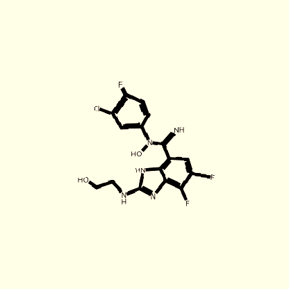 N=C(c1cc(F)c(F)c2nc(NCCO)[nH]c12)N(O)c1ccc(F)c(Cl)c1